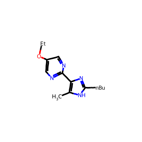 CCCCc1nc(-c2ncc(OCC)cn2)c(C)[nH]1